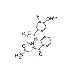 COc1ccc(C(C)N2NN(CC(N)=O)C(=O)c3ccccc32)cc1F